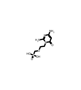 Nc1cc(=O)n(CCOCP(=O)(O)O)c(N)n1